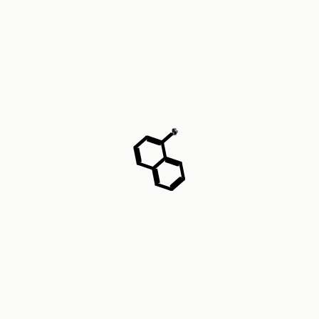 [S]c1cccc2ccccc12